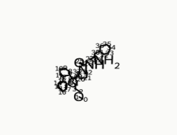 COCCCO[C@@H](c1ccccc1-c1ccccc1)[C@@H]1CCCN(C(=O)NCC(N)CC2CCCCC2)C1